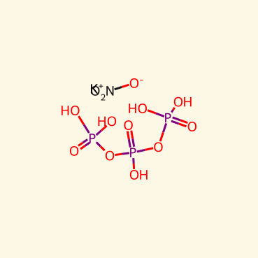 O=P(O)(O)OP(=O)(O)OP(=O)(O)O.O=[N+]([O-])[O-].[K+]